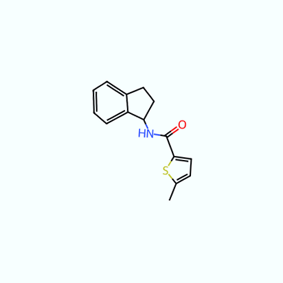 Cc1ccc(C(=O)NC2CCc3ccccc32)s1